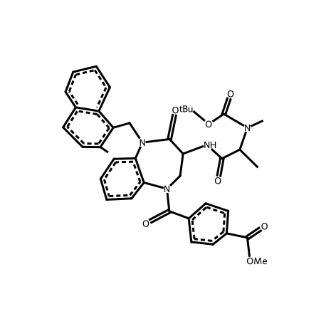 COC(=O)c1ccc(C(=O)N2CC(NC(=O)C(C)N(C)C(=O)OC(C)(C)C)C(=O)N(Cc3c(C)ccc4ccccc34)c3ccccc32)cc1